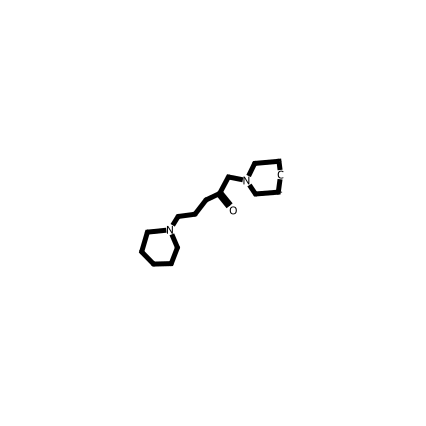 O=C(CCCN1CCCCC1)CN1C[CH]CCC1